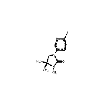 CN1C(=O)N(c2ccc(Br)nc2)CC1(C)C